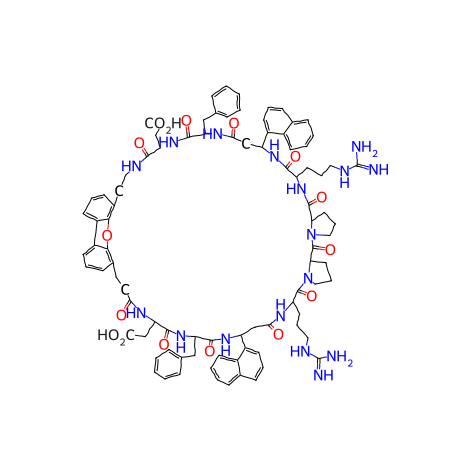 N=C(N)NCCCC1NC(=O)C2CCCN2C(=O)C2CCCN2C(=O)C(CCCNC(=N)N)NC(=O)CC(c2cccc3ccccc23)NC(=O)C(Cc2ccccc2)NC(=O)C(CC(=O)O)NC(=O)CCc2cccc3c2oc2c(cccc23)CCNC(=O)C(CC(=O)O)NC(=O)C(Cc2ccccc2)NC(=O)CC(c2cccc3ccccc23)NC1=O